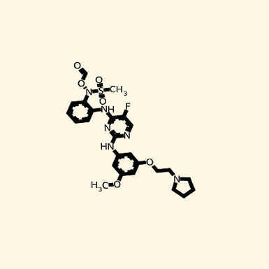 COc1cc(Nc2ncc(F)c(Nc3ccccc3N(OC=O)S(C)(=O)=O)n2)cc(OCCN2CCCC2)c1